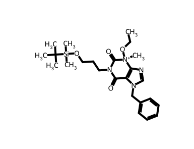 CCO[N+]1(C)C(=O)N(CCCO[Si](C)(C)C(C)(C)C)C(=O)c2c1ncn2Cc1ccccc1